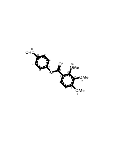 COc1ccc(C(=O)Oc2ccc(C=O)cc2)c(OC)c1OC